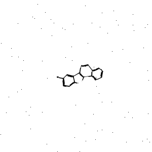 CC(C)c1ccc2oc3c4ccccc4ccc3c2c1